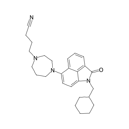 N#CCCCN1CCCN(c2ccc3c4c(cccc24)C(=O)N3CC2CCCCC2)CC1